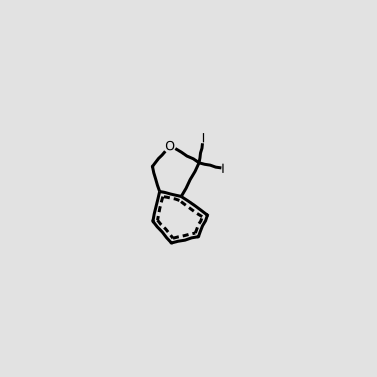 IC1(I)OCc2ccccc21